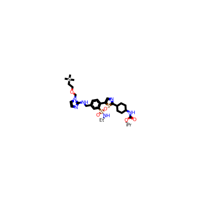 CCNS(=O)(=O)c1cc(CNc2nccn2COCC[Si](C)(C)C)ccc1-c1cnc(C2CCC(NC(=O)OC(C)C)CC2)s1